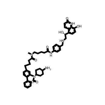 CN(CCCCC(=O)Nc1ccc(CNC[C@H](O)c2ccc(O)c3[nH]c(=O)ccc23)cc1)C(=O)CCCc1ccc(-c2ccccc2)c(N(C(=O)O)C2CCC(N)CC2)c1